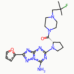 CC(C)(F)CN1CCN(C(=O)[C@@H]2CCCN2c2nc(N)n3nc(-c4ccco4)nc3n2)CC1